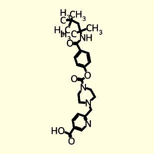 CC(C)(C)CC(C)(C)NC(=O)c1ccc(OC(=O)N2CCN(Cc3ccc(C(=O)O)cn3)CC2)cc1